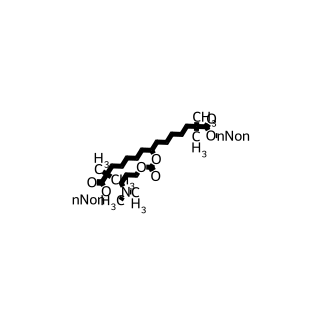 CCCCCCCCCOC(=O)C(C)(C)CCCCCC(CCCCCC(C)(C)C(=O)OCCCCCCCCC)OC(=O)OCCCN(C)C